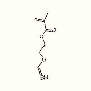 B=COCCOC(=O)C(=C)C